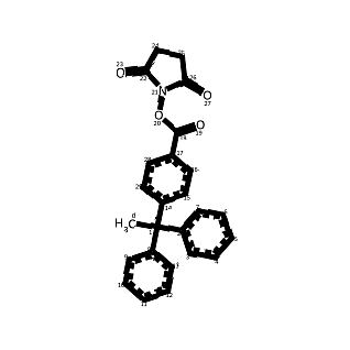 CC(c1ccccc1)(c1ccccc1)c1ccc(C(=O)ON2C(=O)CCC2=O)cc1